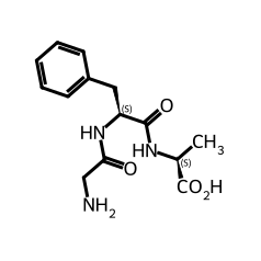 C[C@H](NC(=O)[C@H](Cc1ccccc1)NC(=O)CN)C(=O)O